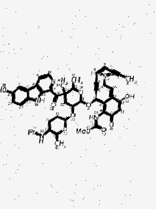 CC#C/C=C\C#C[C@H](OC1OC(C)C(C)(C(=O)c2nccc3c2[nH]c2ccc(O)cc23)CC1OC1CCC(NC(C)C)C(C)O1)C1=C(NC(=O)OC)C(=O)C[C@H](O)/C1=C/CS(C)=S